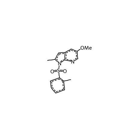 COc1cnc2c(c1)cc(C)n2S(=O)(=O)c1ccccc1C